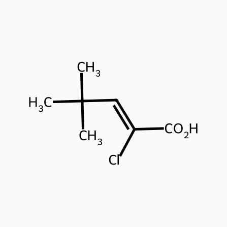 CC(C)(C)C=C(Cl)C(=O)O